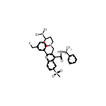 CCN(CC)C1CCN(Cc2c(-c3cccc(CF)c3)nc3ccc(S(C)(=O)=O)cc3c2C(=O)N[C@H](c2ccccc2)C(F)(F)F)CC1